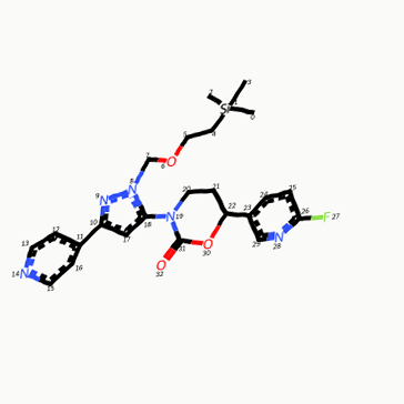 C[Si](C)(C)CCOCn1nc(-c2ccncc2)cc1N1CCC(c2ccc(F)nc2)OC1=O